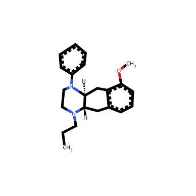 CCCN1CCN(c2ccccc2)[C@H]2Cc3c(cccc3OC)C[C@@H]21